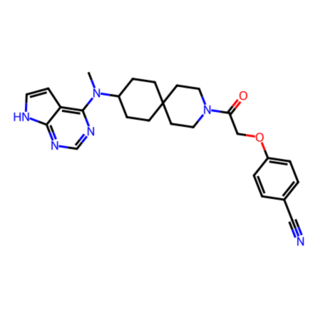 CN(c1ncnc2[nH]ccc12)C1CCC2(CC1)CCN(C(=O)COc1ccc(C#N)cc1)CC2